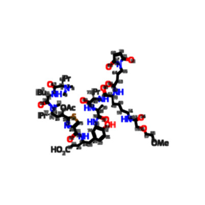 CC[C@H](C)[C@H](NC(=O)[C@H](C(C)C)N(C)C)C(=O)N(C)[C@H](C[C@@H](OC(C)=O)c1nc(C(=O)N[C@H](CCC(=O)O)Cc2ccc(O)c(NC(=O)[C@H](C)NC(=O)[C@@H](NC(=O)[C@H](CCCCNC(=O)COCCOC)NC(=O)CCCN3C(=O)C=CC3=O)C(C)C)c2)cs1)C(C)C